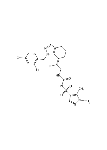 Cc1c(S(=O)(=O)NC(=O)NC/C(F)=C2\CCCc3cnn(Cc4ccc(Cl)cc4Cl)c32)cnn1C